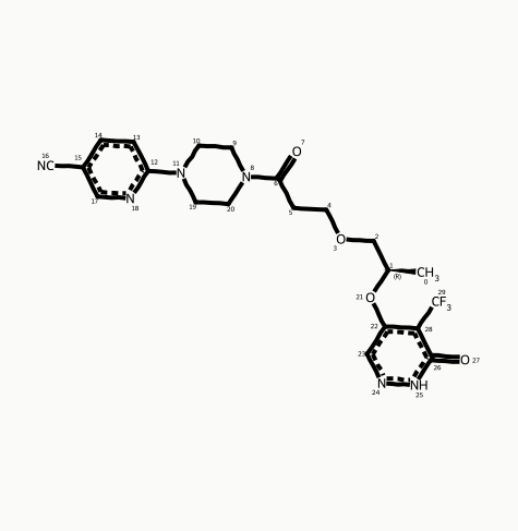 C[C@H](COCCC(=O)N1CCN(c2ccc(C#N)cn2)CC1)Oc1cn[nH]c(=O)c1C(F)(F)F